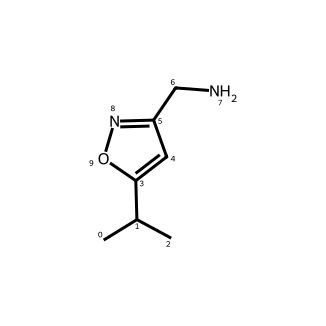 CC(C)c1cc(CN)no1